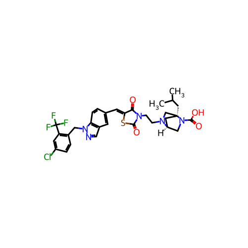 CC(C)C[C@@]12C[C@@H](CN1C(=O)O)N(CCN1C(=O)SC(=Cc3ccc4c(cnn4Cc4ccc(Cl)cc4C(F)(F)F)c3)C1=O)C2